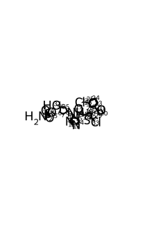 NS(=O)(=O)OC[C@H]1C[C@@H](Nc2ncncc2C(=O)c2cc([C@]3(c4cccc(Cl)c4)CCO3)c(Cl)s2)C[C@@H]1O